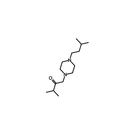 CC(C)CCN1CCN(CC(=O)C(C)C)CC1